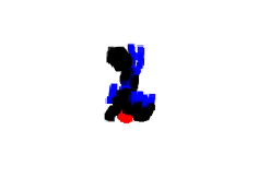 CC#Cc1ccc(N2CCN[C@H](c3ccccc3)C2)nc1C(=O)c1cccnc1N